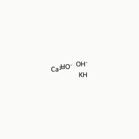 [Ca+2].[KH].[OH-].[OH-]